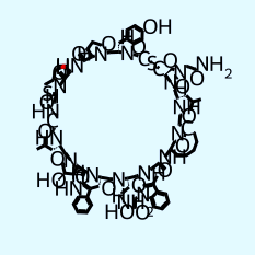 CC(C)C[C@@H]1NC(=O)C2CCCCCCC(NC(=O)[C@H](Cc3cn(CC(=O)O)c4ccccc34)NC(=O)[C@H](CCN)NC(=O)[C@H](Cc3c[nH]c4ccccc34)NC(=O)[C@@H]3C[C@@H](O)CN3C(=O)[C@H](CC(C)C)NC(=O)CNC(=O)[C@H]3SCC4CC[C@@H](NC(=O)[C@@H]5CCCN5C(=O)[C@H](Cc5ccc(O)cc5)NC(=O)CSC[C@@H](C(=O)NCC(N)=O)N(C)C1=O)C(=O)N43)C(=O)N2C